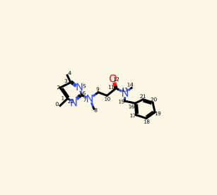 Cc1cc(C)nc(N(C)CCC(=O)N(C)Cc2ccccc2)n1